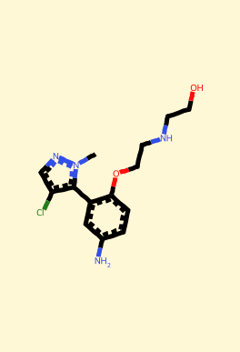 Cn1ncc(Cl)c1-c1cc(N)ccc1OCCNCCO